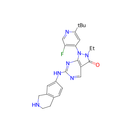 CCn1c(=O)c2cnc(Nc3ccc4c(c3)CNCC4)nc2n1-c1cc(C(C)(C)C)ncc1F